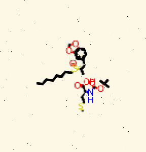 CCCCCCCC[S+]([O-])C(C)Cc1ccc2c(c1)OCO2.CSCC[C@H](NC(=O)OC(C)(C)C)C(=O)O